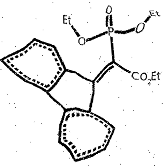 CCOC(=O)C(=C1c2ccccc2-c2ccccc21)P(=O)(OCC)OCC